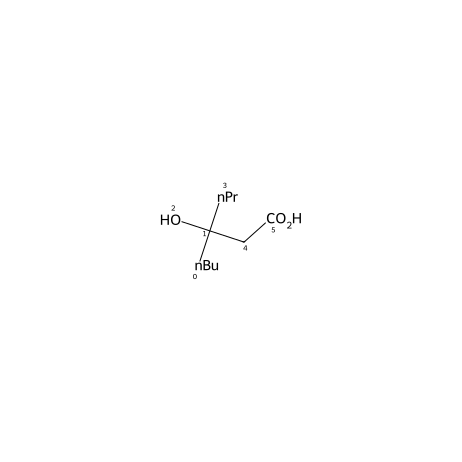 CCCCC(O)(CCC)CC(=O)O